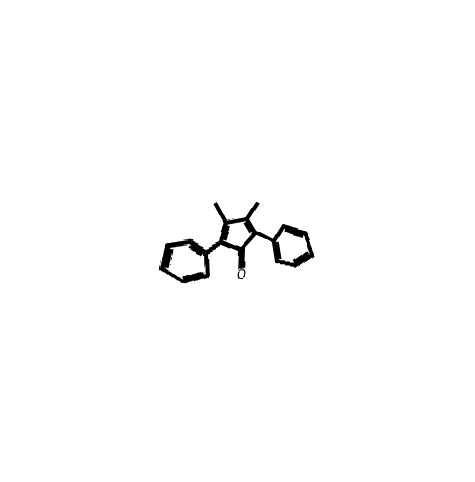 CC1=C(c2ccccc2)C(=O)C(c2ccccc2)=C1C